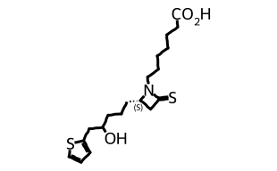 O=C(O)CCCCCCN1C(=S)C[C@@H]1CCCC(O)Cc1cccs1